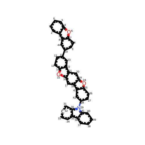 c1ccc2c(c1)oc1ccc(-c3ccc4oc5cc6c(cc5c4c3)oc3ccc(-n4c5ccccc5c5ccccc54)cc36)cc12